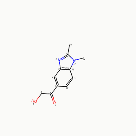 Cc1nc2cc(C(=O)CO)ccc2n1C